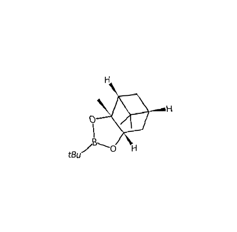 CC(C)(C)B1O[C@H]2C[C@H]3C[C@H](C3(C)C)[C@@]2(C)O1